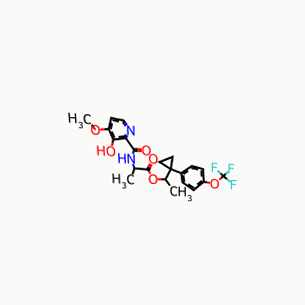 COc1ccnc(C(=O)NC(C)C(=O)OC(C)C2(c3ccc(OC(F)(F)F)cc3)CC2)c1O